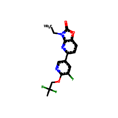 CC(F)(F)COc1ncc(-c2ccc3oc(=O)n(CC(=O)O)c3n2)cc1F